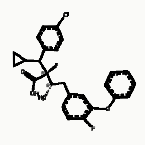 O=C(O)[C@](F)(C(c1ccc(Cl)cc1)C1CC1)[C@@H](O)Cc1ccc(F)c(Oc2ccccc2)c1